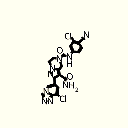 N#Cc1ccc(NC(=O)N2CCn3nc(-c4cc(Cl)c5nncn5c4)c(C(N)=O)c3C2)cc1Cl